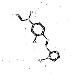 CN(C=N)c1ccc(N=Nc2scc[n+]2C)c(C#N)c1